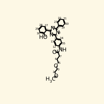 COCCOCCCC(=O)Nc1ccc(-c2nc(-c3ccccc3)nc(-c3ccccc3O)n2)cc1